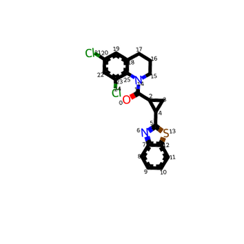 O=C(C1CC1c1nc2ccccc2s1)N1CCCc2cc(Cl)cc(Cl)c21